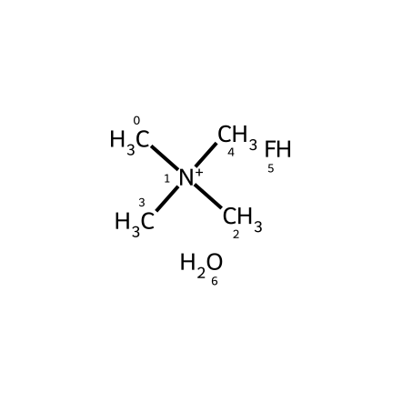 C[N+](C)(C)C.F.O